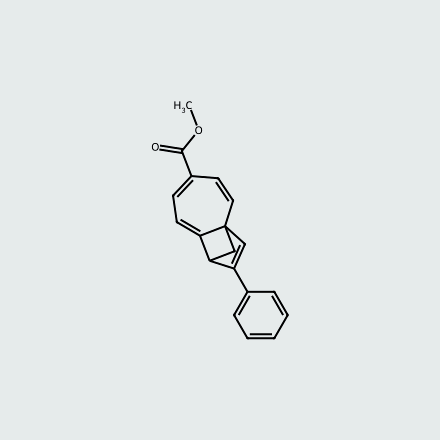 COC(=O)C1=CC=C2C3CC2(C=C1)C=C3c1ccccc1